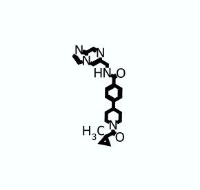 CC1(C(=O)N2CCC(c3ccc(C(=O)NCc4cn5ccnc5cn4)cc3)CC2)CC1